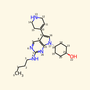 CCCCNc1ncc2c(C3=CCNCC3)cn([C@H]3CC[C@H](O)CC3)c2n1